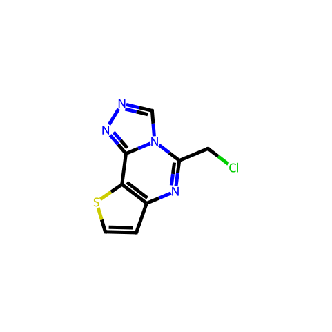 ClCc1nc2ccsc2c2nncn12